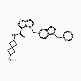 O=C(NC1CC2(C1)CC(C(=O)O)C2)c1csc2ccn(Cc3ccc4c(ccn4Cc4ccccc4)c3)c12